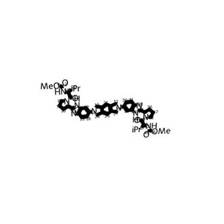 COC(=O)NC(C(=O)N1CCCC1c1nc2ccc(N3Cc4cc5c(cc4C3)CN(c3ccc4nc(C6CCCN6C(=O)C(NC(=O)OC)C(C)C)[nH]c4c3)C5)cc2[nH]1)C(C)C